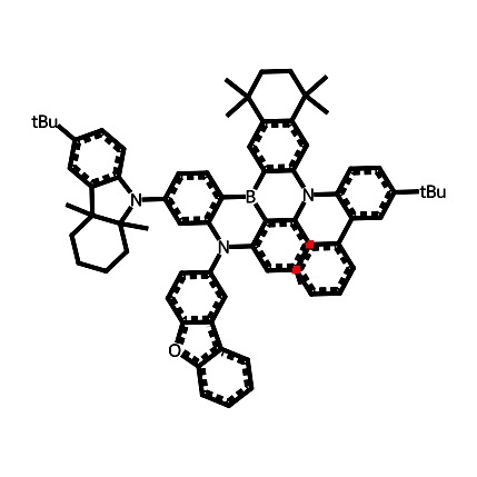 Cc1cc2c3c(c1)N(c1ccc(C(C)(C)C)cc1-c1ccccc1)c1cc4c(cc1B3c1ccc(N3c5ccc(C(C)(C)C)cc5C5(C)CCCCC35C)cc1N2c1ccc2oc3ccccc3c2c1)C(C)(C)CCC4(C)C